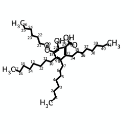 CCCCCCCCc1c(CCCCCCCC)c(OOCCCCCC)c(O)c(C(=O)O)c1CCCCCCCC